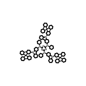 c1ccc(N(c2ccc3c(c2)c2ccccc2n3-c2ccc3c(c2)C2(c4ccccc4-c4ccccc42)c2ccccc2-3)c2nc(N(c3ccccc3)c3ccc4c(c3)c3ccccc3n4-c3ccc4c(c3)C3(c5ccccc5-c5ccccc53)c3ccccc3-4)nc(N(c3ccccc3)c3ccc4c(c3)c3ccccc3n4-c3ccc4c(c3)C3(c5ccccc5-c5ccccc53)c3ccccc3-4)n2)cc1